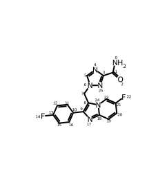 NC(=O)c1ncn(Cc2c(-c3ccc(F)cc3)nc3ccc(F)cn23)n1